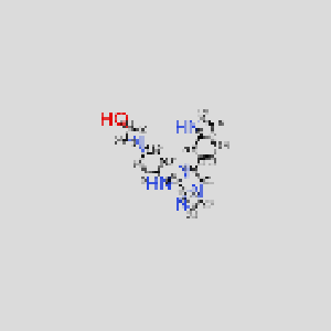 OC1CN(c2ccc(Nc3nc(-c4ccc5cc[nH]c5c4)cn4ccnc34)cc2)C1